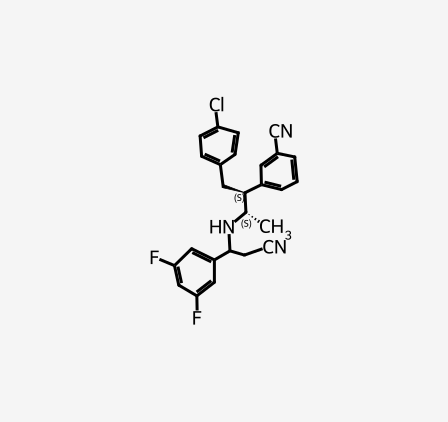 C[C@H](NC(CC#N)c1cc(F)cc(F)c1)[C@@H](Cc1ccc(Cl)cc1)c1cccc(C#N)c1